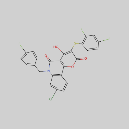 O=c1oc2c(c(O)c1Sc1ccc(F)cc1F)c(=O)n(Cc1ccc(F)cc1)c1cc(Cl)ccc21